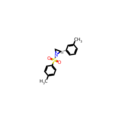 Cc1ccc(S(=O)(=O)N2C[C@@H]2c2cccc(C)c2)cc1